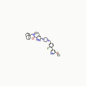 CCOc1cncc(-c2ccc(CN3CCN(c4ccc(C(=O)N(C)CC56CC7CC(CC(C7)C5)C6)nn4)CC3)cc2F)c1